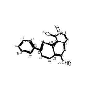 O=Cc1cc2cc[nH]c(=O)c2c2cc(-c3ccccc3)ccc12